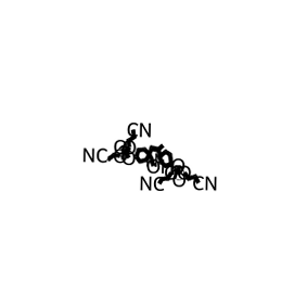 CC1=CC2(CCC(OP(=O)(OCCC#N)OCCC#N)CC2)N(O)C12CCC(OP(=O)(OCCC#N)OCCC#N)CC2